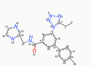 CCc1nnnn1-c1cc(C(=O)NCc2cnccn2)cc(-c2ccc(C)cc2)c1